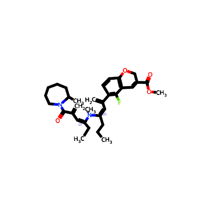 C=C(/C=C(/CC)N(C)/C(=C\C(=C)c1ccc2c(c1F)C=C(C(=O)OC)CO2)CCC)C(=O)N1CCCCCC1C